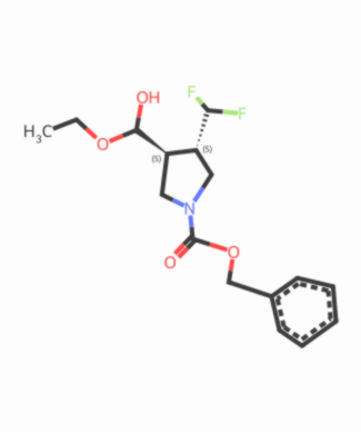 CCOC(O)[C@@H]1CN(C(=O)OCc2ccccc2)C[C@H]1C(F)F